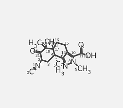 [C-]#[N+]C1C[C@]2(C)c3nn(C)c(C(=O)O)c3CC[C@H]2C(C)(C)C1=O